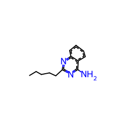 CCCCCc1nc(N)c2ccccc2n1